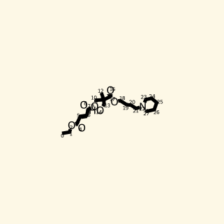 CCOC(=O)/C=C/C(=O)OCC(C)(CO)C(=O)OCCCCN1CCCCC1